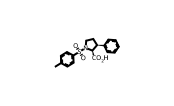 Cc1ccc(S(=O)(=O)N2CC[C@@H](c3ccccc3)[C@H]2C(=O)O)cc1